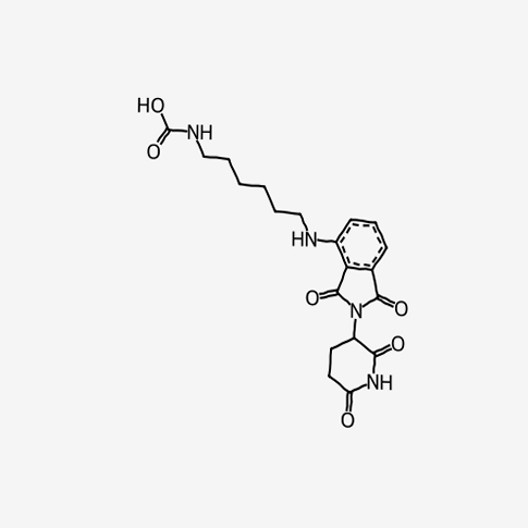 O=C(O)NCCCCCCNc1cccc2c1C(=O)N(C1CCC(=O)NC1=O)C2=O